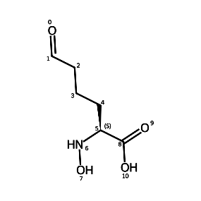 O=CCCC[C@H](NO)C(=O)O